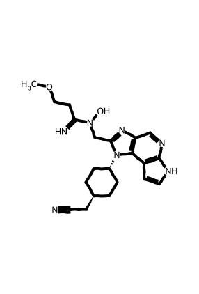 COCCC(=N)N(O)Cc1nc2cnc3[nH]ccc3c2n1[C@H]1CC[C@H](CC#N)CC1